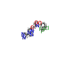 FC(F)(F)c1cc(Oc2nc(COc3ccn4c(-c5cncnc5)cnc4n3)co2)ccc1Cl